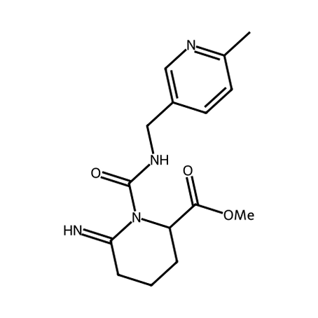 COC(=O)C1CCCC(=N)N1C(=O)NCc1ccc(C)nc1